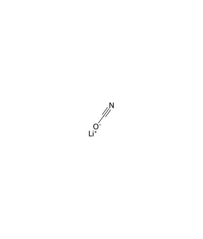 N#C[O-].[Li+]